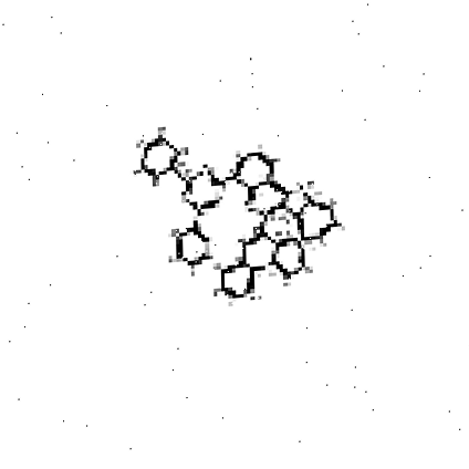 c1ccc(-c2cc(-c3cccc4c3nc(-c3cc5ccccc5c5ccccc35)c3c5ccccc5sc43)nc(-c3ccccc3)n2)cc1